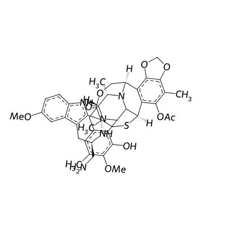 COc1ccc2[nH]c3c(c2c1)C[C@H](CN)N[C@]31CS[C@@H]2c3c(OC(C)=O)c(C)c4c(c3[C@H](COC1=O)N1C2C2c3c(cc(C)c(OC)c3O)C[C@H]([C@@H]1C)N2C)OCO4